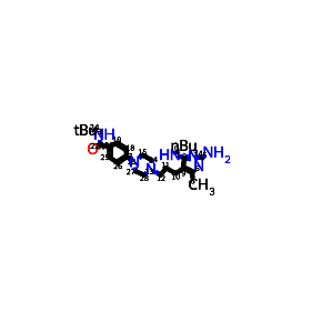 CCCCNc1nc(N)nc(C)c1CCCN1CCN(c2ccc(C(=O)NC(C)(C)C)cc2)CC1